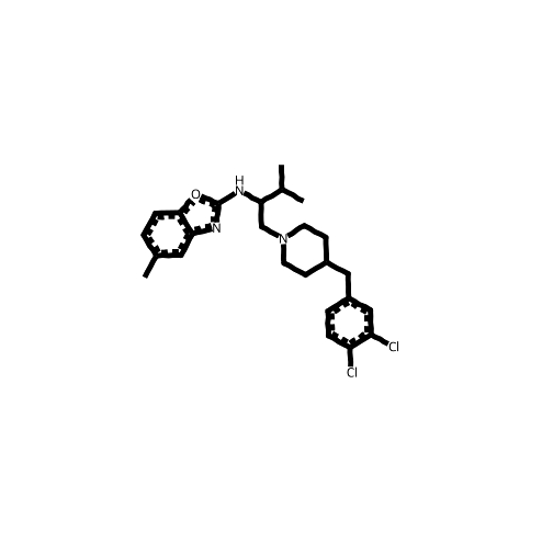 Cc1ccc2oc(NC(CN3CCC(Cc4ccc(Cl)c(Cl)c4)CC3)C(C)C)nc2c1